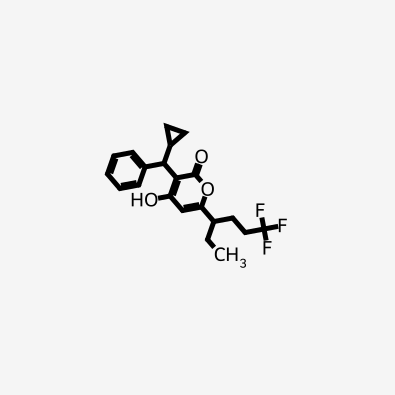 CCC(CCC(F)(F)F)c1cc(O)c(C(c2ccccc2)C2CC2)c(=O)o1